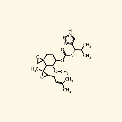 CO[C@H]1C([C@@]2(C)O[C@@H]2CC=C(C)C)[C@]2(CC[C@H]1OC(=O)N[C@H](c1c[nH]nn1)C(C)C)CO2